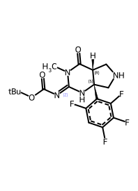 CN1C(=O)[C@@H]2CNC[C@]2(c2c(F)cc(F)c(F)c2F)N/C1=N/C(=O)OC(C)(C)C